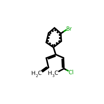 C=C/C=C(\C=C(/C)Cl)c1cccc(Br)c1